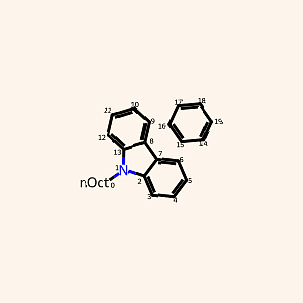 CCCCCCCCn1c2ccccc2c2ccccc21.c1ccccc1